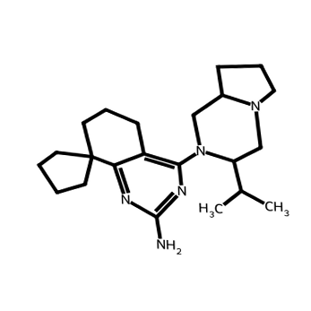 CC(C)C1CN2CCCC2CN1c1nc(N)nc2c1CCCC21CCCC1